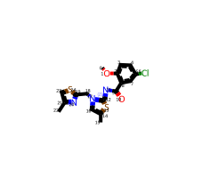 COc1ccc(Cl)cc1C(=O)/N=c1\sc(C)cn1Cc1nc(C)cs1